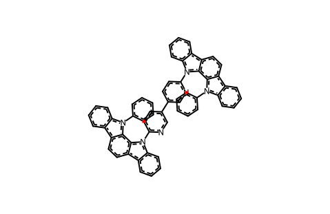 c1ccc(-n2c3ccccc3c3ccc4c5ccccc5n(-c5ccc(-c6ccc(-n7c8ccccc8c8ccc9c%10ccccc%10n(-c%10ccccc%10)c9c87)nc6)cn5)c4c32)cc1